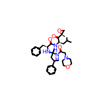 CC(C)C[C@@H](NC(=O)[C@H](Cc1ccccc1)NC(C)(CC(C)c1ccccc1)NC(=O)CN1CCOCC1)C(=O)[C@@]1(C)CO1